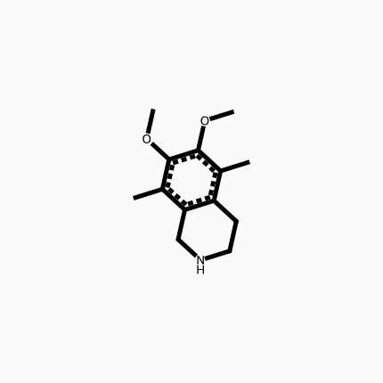 COc1c(C)c2c(c(C)c1OC)CNCC2